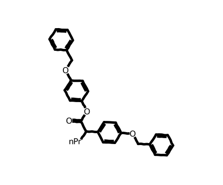 CCCC(C(=O)Oc1ccc(OCc2ccccc2)cc1)c1ccc(OCc2ccccc2)cc1